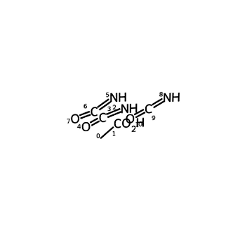 CC(=O)O.N=C=O.N=C=O.N=C=O